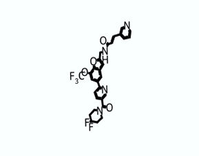 O=C(/C=C/c1cccnc1)NCc1cc2cc(-c3ccc(C(=O)N4CCC(F)(F)CC4)cn3)cc(OC(F)(F)F)c2o1